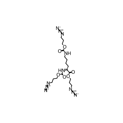 [N-]=[N+]=NCCCOC(=O)NCCCC[C@H](NC(=O)OCCCN=[N+]=[N-])C(=O)OCCCN=[N+]=[N-]